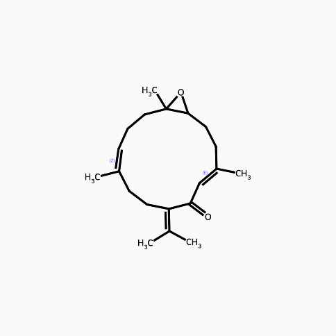 CC(C)=C1CC/C(C)=C\CCC2(C)OC2CC/C(C)=C/C1=O